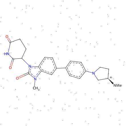 CN[C@@H]1CCN(c2ccc(-c3ccc4c(c3)n(C)c(=O)n4C3CCC(=O)NC3=O)cc2)C1